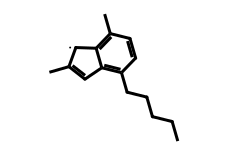 CCCCCc1ccc(C)c2c1C=C(C)[CH]2